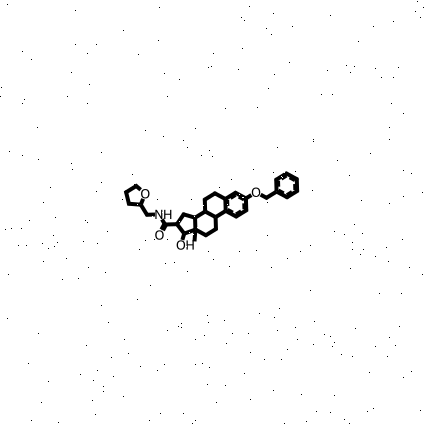 CC12CCC3c4ccc(OCc5ccccc5)cc4CCC3C1CC(C(=O)NCC1CCCO1)C2O